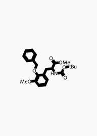 COC(=O)C(Cc1cccc(OC)c1OCc1ccccc1)NC(=O)OC(C)(C)C